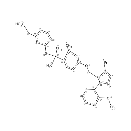 Cc1cc(OCc2c(C(C)C)cnn2-c2ccccc2OC(F)(F)F)ccc1C(C)(C)Sc1cccc(CC(=O)O)c1